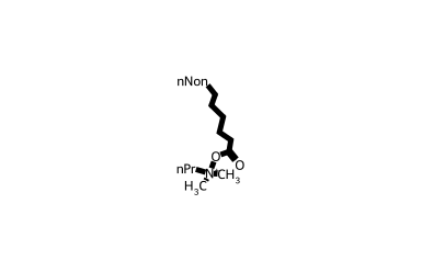 CCCCCCCCCCCCCCC(=O)O[N+](C)(C)CCC